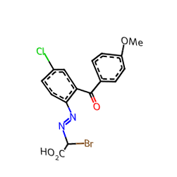 COc1ccc(C(=O)c2cc(Cl)ccc2N=NC(Br)C(=O)O)cc1